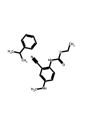 CC(C)c1ccccc1.CCOC(=O)Nc1ccc(NC)cc1C#N